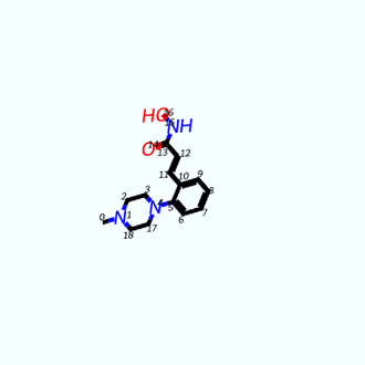 CN1CCN(c2ccccc2C=CC(=O)NO)CC1